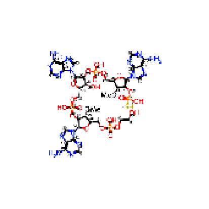 CO[C@@H]1C(OP(=O)(O)S)[C@H](n2cnc3c(N)ncnc32)O[C@@H]1COP(=O)(O)OC1[C@@H](O)[C@@H](COP(=O)(O)OC2[C@@H](OC)[C@@H](COP(=O)(O)OCCO)O[C@H]2n2cnc3c(N)ncnc32)O[C@H]1n1cnc2c(N)ncnc21